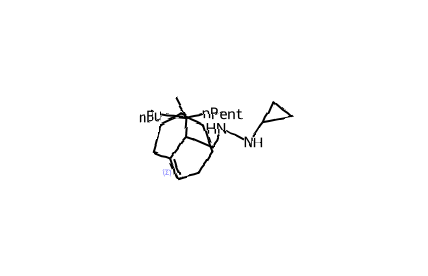 CCCCCC(C)(CCCC)C(CNNC1CC1)/C1=C\CCCCCC1